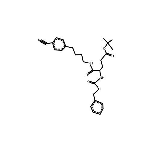 CC(C)(C)OC(=O)CC[C@@H](NC(=O)OCc1ccccc1)C(=O)NCCCCc1ccc(C#N)cc1